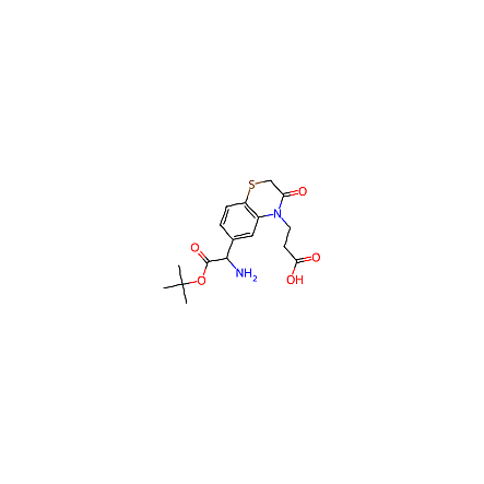 CC(C)(C)OC(=O)C(N)c1ccc2c(c1)N(CCC(=O)O)C(=O)CS2